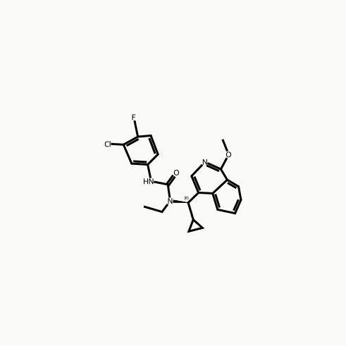 CCN(C(=O)Nc1ccc(F)c(Cl)c1)[C@@H](c1cnc(OC)c2ccccc12)C1CC1